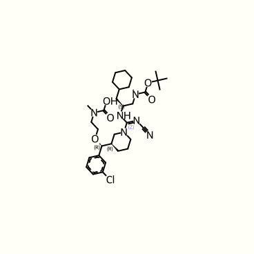 CN(CCO[C@@H](c1cccc(Cl)c1)[C@@H]1CCCN(/C(=N\C#N)N[C@@H](CC2CCCCC2)CN(C)C(=O)OC(C)(C)C)C1)C(=O)O